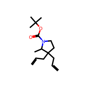 C=CCC1(CC=C)CCN(C(=O)OC(C)(C)C)C1C